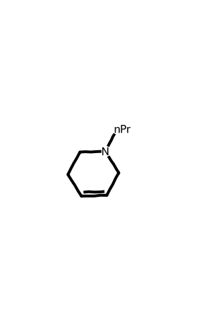 CCCN1CC=CCC1